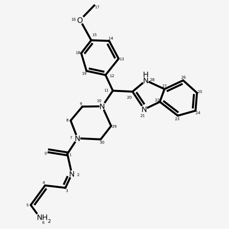 C=C(/N=C\C=C/N)N1CCN(C(c2ccc(OC)cc2)c2nc3ccccc3[nH]2)CC1